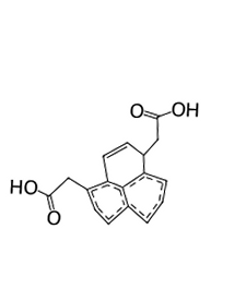 O=C(O)Cc1ccc2cccc3c2c1C=CC3CC(=O)O